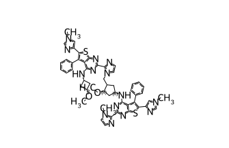 CO[C@@H]1C[C@H](Nc2nc(-c3nccn3C)nc3sc(-c4cn(C)cn4)c(-c4ccccc4)c23)CC1Cn1ccnc1-c1nc(N[C@H]2C[C@@H](OC)C2)c2c(-c3ccccc3)c(-c3cn(C)cn3)sc2n1